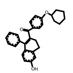 O=C(C1=C(c2ccccc2)c2ccc(O)cc2CC1)c1ccc(OC2CCCCC2)cc1